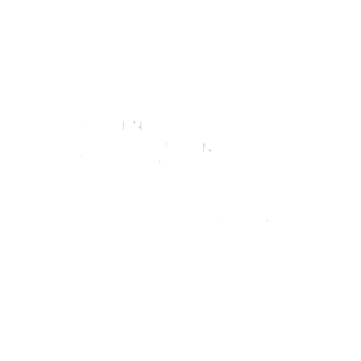 COc1cc(C(=O)N2CCC3(CC2)CNC(c2ccccc2)CO3)ccc1OC(C)C